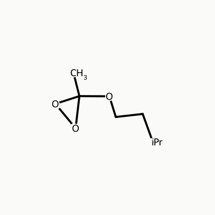 CC(C)CCOC1(C)OO1